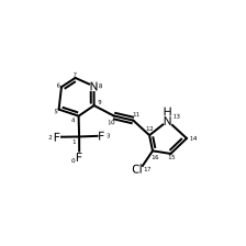 FC(F)(F)c1cccnc1C#Cc1[nH]ccc1Cl